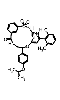 Cc1cccc(C)c1-c1cc2nc(n1)NS(=O)(=O)c1cccc(c1)C(=O)NCC(c1ccc(OC(C)C)cc1)O2